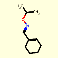 CC(C)O/N=[C]/C1=CCCCC1